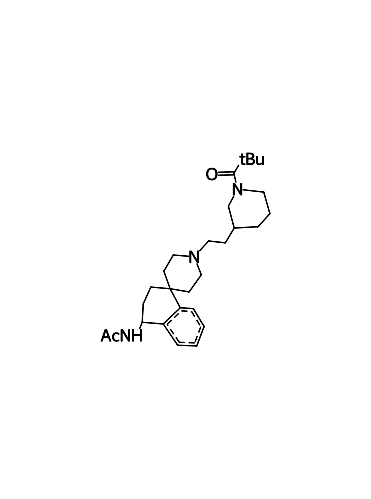 CC(=O)NC1CCC2(CCN(CCC3CCCN(C(=O)C(C)(C)C)C3)CC2)c2ccccc21